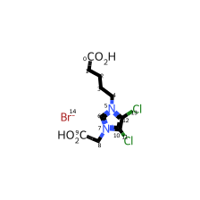 O=C(O)CCCCn1c[n+](CC(=O)O)c(Cl)c1Cl.[Br-]